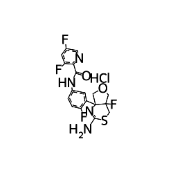 Cl.NC1=NC2(c3cc(NC(=O)c4ncc(F)cc4F)ccc3F)COCC2(F)CS1